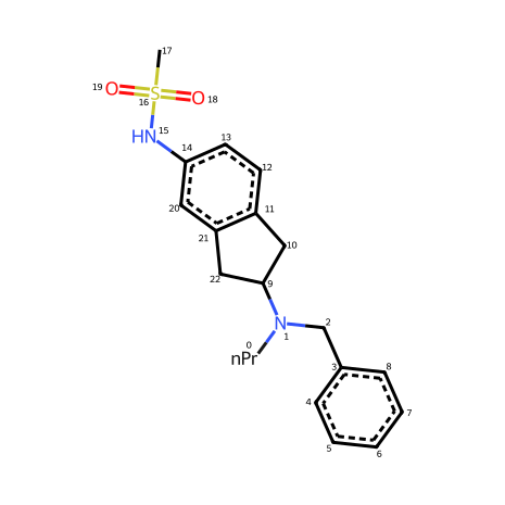 CCCN(Cc1ccccc1)C1Cc2ccc(NS(C)(=O)=O)cc2C1